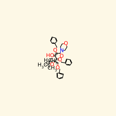 CC(COCc1ccccc1)(O[Si](C)(C)C)[C@@H](OCc1ccccc1)[C@H](O)[C@@H](OCc1ccccc1)C(=O)N1CCOCC1